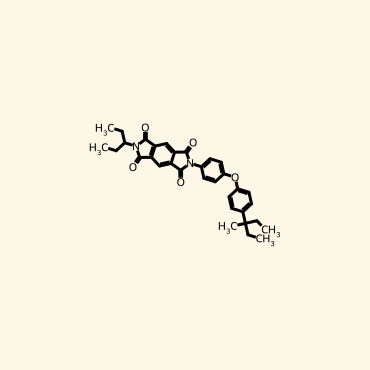 CCC(CC)n1c(=O)c2cc3c(=O)n(-c4ccc(Oc5ccc(C(C)(CC)CC)cc5)cc4)c(=O)c3cc2c1=O